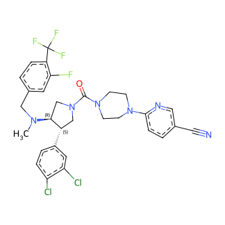 CN(Cc1ccc(C(F)(F)F)c(F)c1)[C@H]1CN(C(=O)N2CCN(c3ccc(C#N)cn3)CC2)C[C@@H]1c1ccc(Cl)c(Cl)c1